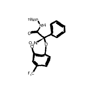 CCCCCCCCCNC(=O)[C@@](Oc1ccc(C(F)(F)F)cc1Cl)(c1ccccc1)[N+](=O)[O-]